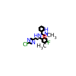 CNC(=O)C(N[C@H](CCc1cnc(Cl)cn1)c1ccc(F)c(C)c1)c1ccccc1